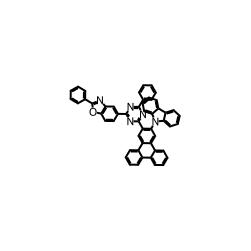 c1ccc(-c2nc(-c3ccc4oc(-c5ccccc5)nc4c3)nc(-c3cc4c5ccccc5c5ccccc5c4cc3-n3c4ccccc4c4ccccc43)n2)cc1